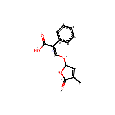 CC1=CC(O/C=C(/C(=O)O)c2ccccc2)OC1=O